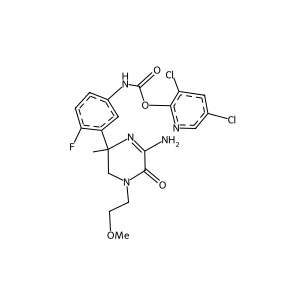 COCCN1CC(C)(c2cc(NC(=O)Oc3ncc(Cl)cc3Cl)ccc2F)N=C(N)C1=O